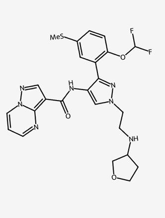 CSc1ccc(OC(F)F)c(-c2nn(CCNC3CCOC3)cc2NC(=O)c2cnn3cccnc23)c1